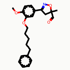 COc1ccc(C2=NOC(C)(C=O)C2)cc1OCCCCCc1ccccc1